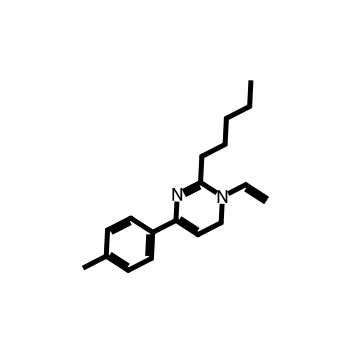 C=CN1CC=C(c2ccc(C)cc2)N=C1CCCCC